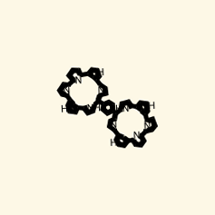 Oc1c2cccc1-c1cccc(n1)-c1cccc(n1)-c1cccc(c1O)-c1ccc([nH]1)/C(c1ccc(/C3=C4\C=CC(=N4)c4cccc(c4O)-c4cccc(n4)-c4cccc(n4)-c4cccc(c4O)-c4ccc3[nH]4)cc1)=C1/C=CC2=N1